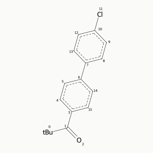 CC(C)(C)C(=O)c1ccc(-c2ccc(Cl)cc2)cc1